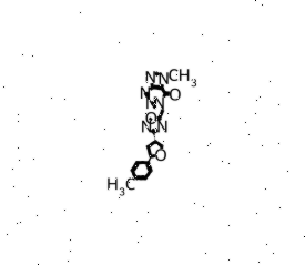 Cc1ccc([C@H]2C[C@H](c3noc(Cn4nnc5ncn(C)c5c4=O)n3)CO2)cc1